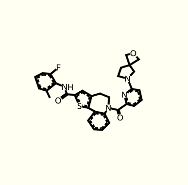 Cc1cccc(F)c1NC(=O)c1cc2c(s1)-c1ccccc1N(C(=O)c1cccc(N3CCC4(COC4)C3)n1)CC2